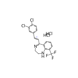 Cl.Cl.FC(F)(F)c1cccc2c1NCCN=C2/C=C/c1ccc(Cl)c(Cl)c1